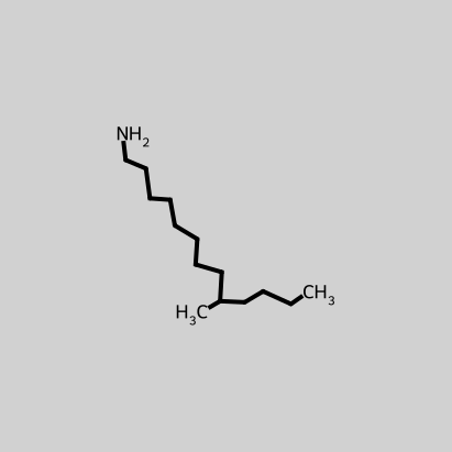 CCCCC(C)CCCCCCCCN